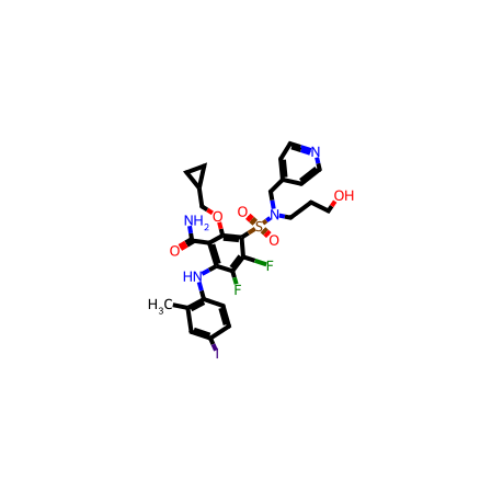 Cc1cc(I)ccc1Nc1c(F)c(F)c(S(=O)(=O)N(CCCO)Cc2ccncc2)c(OCC2CC2)c1C(N)=O